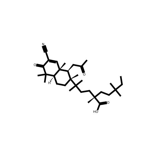 CCC(C)(C)CC[C@@](C)(CCC(C)(C)[C@]1(C)CC[C@H]2C(C)(C)C(=O)C(C#N)=C[C@]2(C)[C@H]1CC(C)=O)C(=O)O